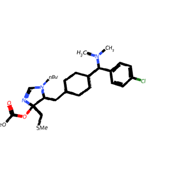 CCCCN1C=NC(CSC)(OC(=O)OC)C1CC1CCC(C(c2ccc(Cl)cc2)N(C)C)CC1